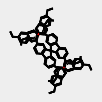 CCc1ccc(N(c2ccc(CC)cc2)c2ccc3c(c2)C2(c4cc(N(c5ccc(CC)cc5)c5ccc(CC)cc5)ccc4-3)c3cc(N(c4ccc(CC)cc4)c4ccc(CC)cc4)ccc3-c3ccc(N(c4ccc(CC)cc4)c4ccc(CC)cc4)cc32)cc1